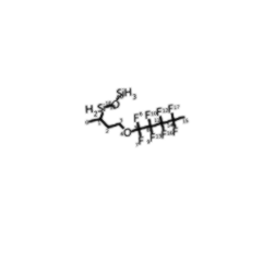 CC(CCOC(F)(F)C(F)(F)C(F)(F)C(C)(F)F)[SiH2]O[SiH3]